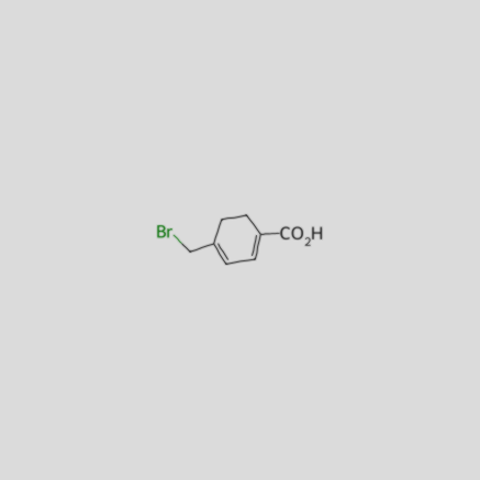 O=C(O)C1=CC=C(CBr)CC1